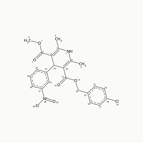 COC(=O)C1=C(C)NC(C)=C(C(=O)OCc2ccc(Cl)cc2)C1c1cccc([N+](=O)[O-])c1